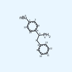 CCCCc1ccc(C(P)Cc2cc[c]cc2)cc1